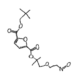 CC(C)(C)COC(=O)c1ccc(C(=O)OC(C)(C)COCCN=O)o1